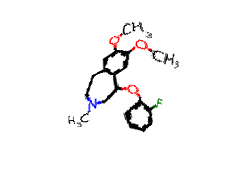 COc1cc2c(cc1OC)C(Oc1ccccc1F)CN(C)CC2